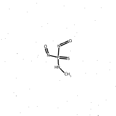 CNP(=S)(N=O)N=O